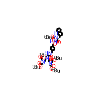 CC(C)(C)OC(=O)CN(CCN(CCN(CC(=O)OC(C)(C)C)CC(=O)OC(C)(C)C)CC(=O)NCc1ccc(CONC(=O)[C@@H](Cc2ccc3ccccc3c2)NC(=O)OC(C)(C)C)cc1)CC(=O)OC(C)(C)C